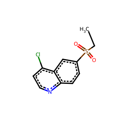 CCS(=O)(=O)c1ccc2nccc(Cl)c2c1